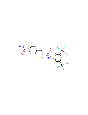 NC(=O)c1ccc(CN(S)C(=O)Nc2cc(C(F)(F)F)cc(C(F)(F)F)c2)cc1